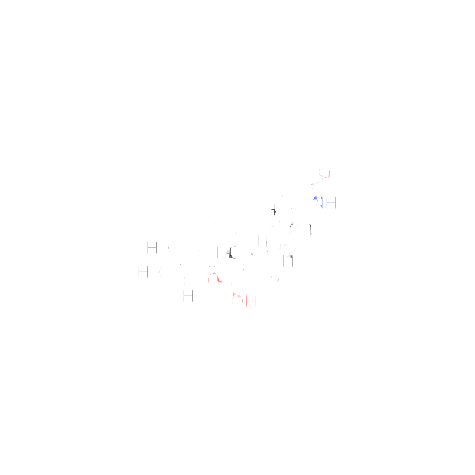 CC(C)(C)c1cccc(C2(C(=O)O)CC[C@H]3[C@@H]4CCC5NC(=O)C=C[C@]5(C)[C@@H]4CC[C@@]32C)c1